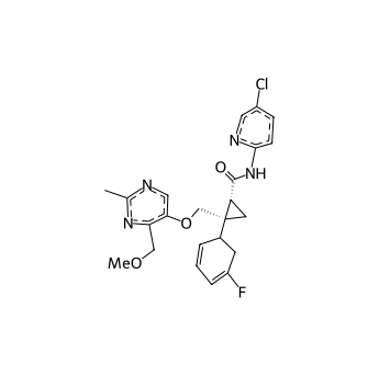 COCc1nc(C)ncc1OC[C@@]1(C2C=CC=C(F)C2)C[C@H]1C(=O)Nc1ccc(Cl)cn1